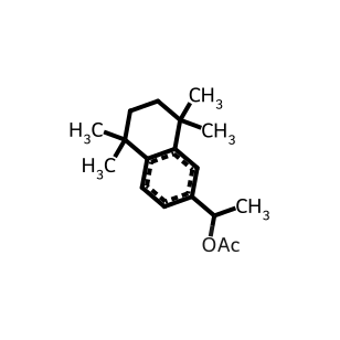 CC(=O)OC(C)c1ccc2c(c1)C(C)(C)CCC2(C)C